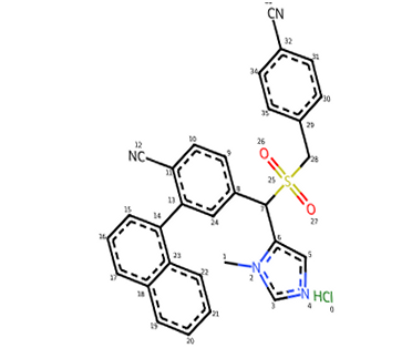 Cl.Cn1cncc1C(c1ccc(C#N)c(-c2cccc3ccccc23)c1)S(=O)(=O)Cc1ccc(C#N)cc1